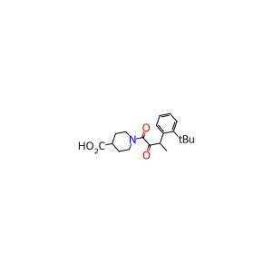 CC(C(=O)C(=O)N1CCC(C(=O)O)CC1)c1ccccc1C(C)(C)C